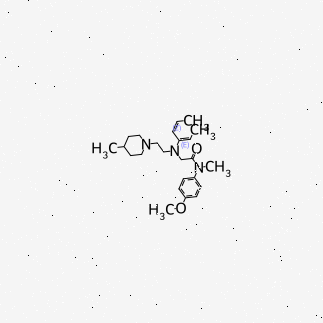 C/C=C\C(=C/C)N(CCN1CCC(C)CC1)CC(=O)N(C)c1ccc(OC)cc1